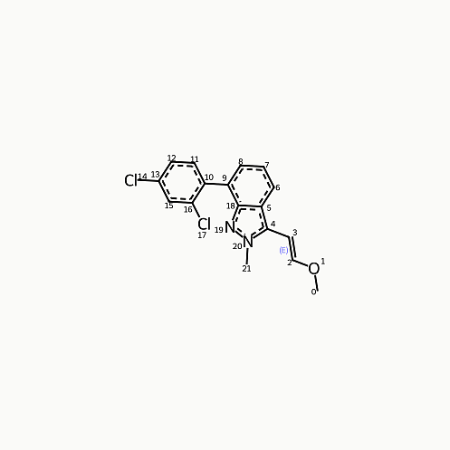 CO/C=C/c1c2cccc(-c3ccc(Cl)cc3Cl)c2nn1C